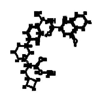 CCC(NC(=O)c1cc(=O)n2ccccc2n1)c1ccc(N2CCC[C@@H](N(CC3CCC3)C(=O)OC(C)(C)C)C2)nn1